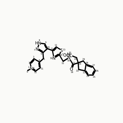 C[n+]1ccc(Cc2n[nH]cc2-c2csc(CNC(=O)C3(CC(=O)[O-])Cc4ccccc4C3)n2)cc1